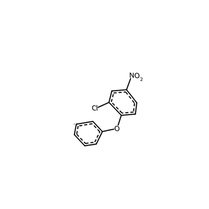 O=[N+]([O-])c1ccc(Oc2c[c]ccc2)c(Cl)c1